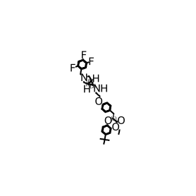 CCOC(=O)[C@H](Cc1ccc(OCCN[C@H]2[C@@H]3CN(Cc4cc(F)c(F)cc4F)C[C@@H]32)cc1)Oc1ccc(C(C)(C)C)cc1